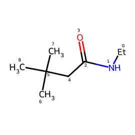 [CH2]CNC(=O)CC(C)(C)C